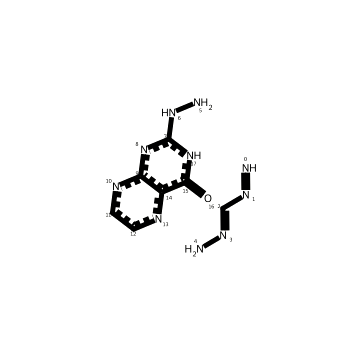 N=NC=NN.NNc1nc2nccnc2c(=O)[nH]1